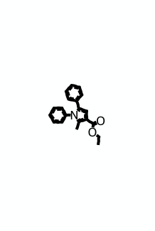 CCOC(=O)c1cc(-c2ccccc2)n(-c2ccccc2)c1C